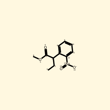 CCC(C(=O)OC)c1ccccc1[N+](=O)[O-]